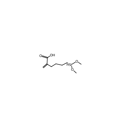 C=C(CCCC[SiH](OC)OC)C(=O)O